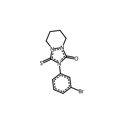 O=c1n(-c2cccc(Br)c2)c(=S)n2n1CCCC2